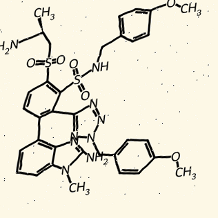 COc1ccc(CNS(=O)(=O)c2c(S(=O)(=O)C[C@H](C)N)ccc(-c3cccc4c3nc(N)n4C)c2-c2nnn(Cc3ccc(OC)cc3)n2)cc1